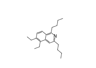 CCCCc1cc2c(CC)c(CC)ccc2c(CCCC)n1